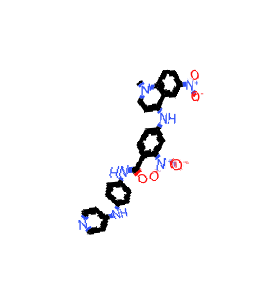 CN1CC=C(Nc2ccc(C(=O)Nc3ccc(Nc4ccncc4)cc3)c([N+](=O)[O-])c2)c2cc([N+](=O)[O-])ccc21